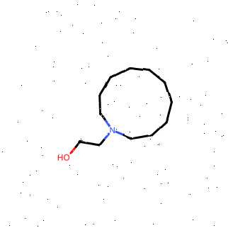 OCCN1CCCCCCCCCC1